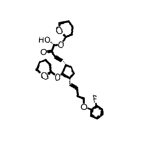 O=C(C#C[C@@H]1CC[C@H](/C=C/CCOc2ccccc2F)[C@H]1OC1CCCCO1)[C@H](O)OC1CCCCO1